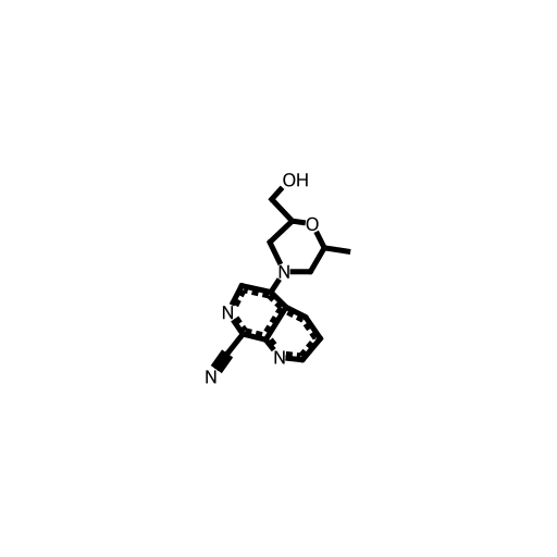 CC1CN(c2cnc(C#N)c3ncccc23)CC(CO)O1